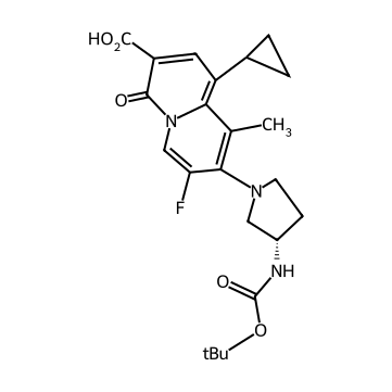 Cc1c(N2CC[C@H](NC(=O)OC(C)(C)C)C2)c(F)cn2c(=O)c(C(=O)O)cc(C3CC3)c12